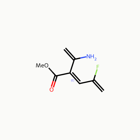 C=C(F)/C=C(\C(=C)N)C(=O)OC